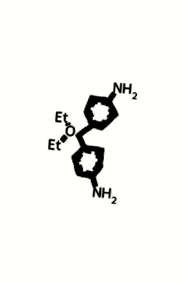 CCOCC.Nc1ccc(Cc2ccc(N)cc2)cc1